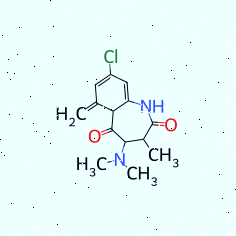 C=C1C=C(Cl)C=C2NC(=O)C(C)C(N(C)C)C(=O)C12